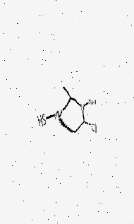 CC1N(S)CC(Cl)N1S